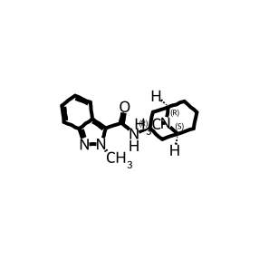 CN1[C@@H]2CCC[C@H]1C[C@@H](NC(=O)c1c3ccccc3nn1C)C2